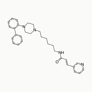 O=C(C=Cc1cccnc1)NCCCCCCN1CCN(c2ccccc2-c2ccccc2)CC1